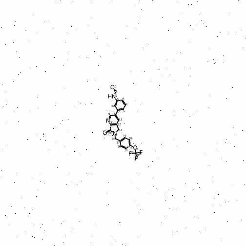 O=CNc1cccc(-c2cnc3c(c2)CN(Cc2ccc(OC(F)(F)F)cc2)C3=O)c1